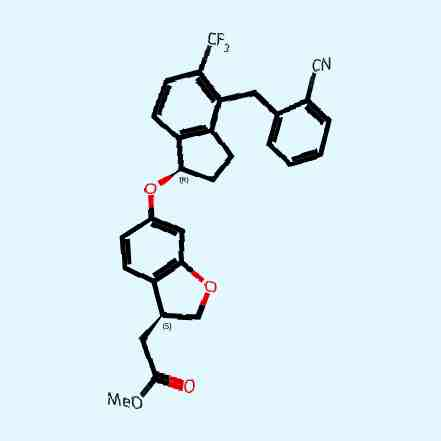 COC(=O)C[C@@H]1COc2cc(O[C@@H]3CCc4c3ccc(C(F)(F)F)c4Cc3ccccc3C#N)ccc21